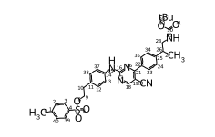 Cc1ccc(S(=O)(=O)OCCc2ccc(Nc3ncc(C#N)c(-c4ccc(C(C)CNC(=O)OC(C)(C)C)cc4)n3)cc2)cc1